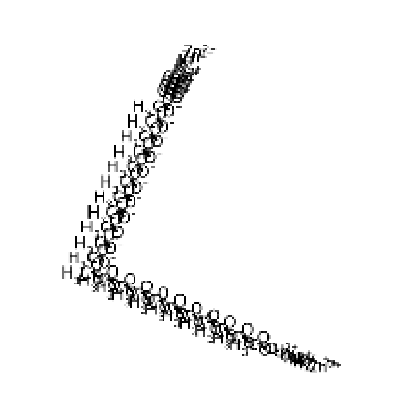 CC(=O)[O-].CC(=O)[O-].CC(=O)[O-].CC(=O)[O-].CC(=O)[O-].CC(=O)[O-].CC(=O)[O-].CC(=O)[O-].CC(=O)[O-].CC(=O)[O-].CC(=O)[O-].CC(=O)[O-].CC(=O)[O-].CC(=O)[O-].CC(=O)[O-].CC(=O)[O-].CC(=O)[O-].CC(=O)[O-].CC(=O)[O-].CC(=O)[O-].CC(=O)[O-].CC(=O)[O-].[K+].[K+].[K+].[K+].[Na+].[Na+].[Na+].[Na+].[O]=[U+2]=[O].[O]=[U+2]=[O].[O]=[U+2]=[O].[O]=[U+2]=[O].[O]=[U-2]=[O].[Zn+2].[Zn+2].[Zn+2].[Zn+2]